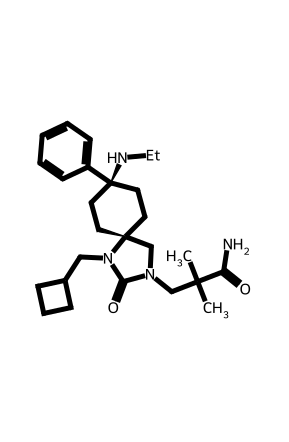 CCN[C@]1(c2ccccc2)CC[C@@]2(CC1)CN(CC(C)(C)C(N)=O)C(=O)N2CC1CCC1